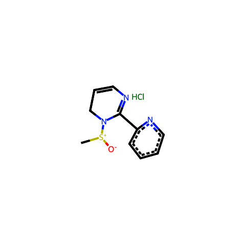 C[S+]([O-])N1CC=CN=C1c1ccccn1.Cl